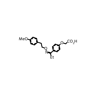 CCC(=NOCCc1ccc(OC)cc1)c1ccc(OCC(=O)O)cc1